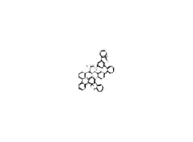 c1cc(-c2cc(-c3cccc(-c4ccccc4-c4cccc5c4sc4ccccc45)c3)ncn2)cc(-c2ccccc2-c2cccc3c2sc2ccccc23)c1